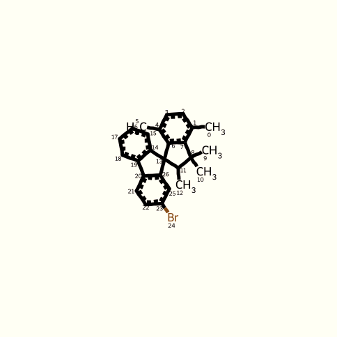 Cc1ccc(C)c2c1C(C)(C)C(C)C21c2ccccc2-c2ccc(Br)cc21